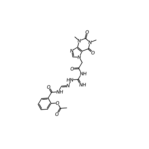 CC(=O)Oc1ccccc1C(=O)N/C=N/NC(=N)NC(=O)Cn1cnc2c1c(=O)n(C)c(=O)n2C